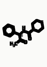 CC(=O)[C@H](NC(=O)N1CCSCC1)c1ccccc1